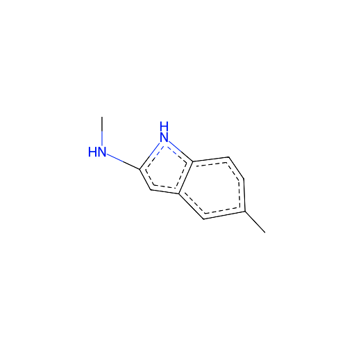 CNc1cc2cc(C)ccc2[nH]1